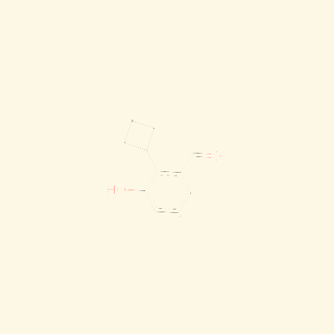 O=Cc1cccc(O)c1C1CCC1